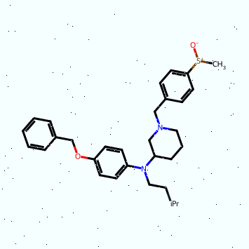 CC(C)CCN(c1ccc(OCc2ccccc2)cc1)C1CCCN(Cc2ccc([S+](C)[O-])cc2)C1